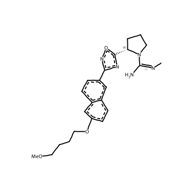 C/N=C(/N)N1CCC[C@H]1c1nc(-c2ccc3cc(OCCCCOC)ccc3c2)no1